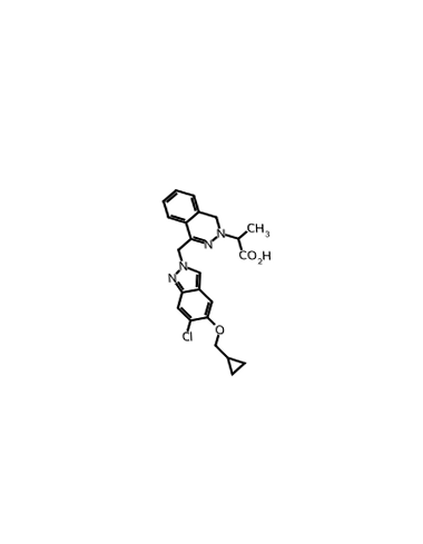 CC(C(=O)O)N1Cc2ccccc2C(Cn2cc3cc(OCC4CC4)c(Cl)cc3n2)=N1